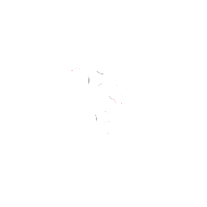 O=C(O)C(C(=O)Cc1ccc(O)cc1)c1ccc(O)cc1